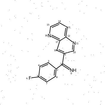 N=C(c1ccc(F)cc1)c1cnc2cccnc2c1